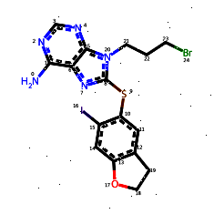 Nc1ncnc2c1nc(Sc1cc3c(cc1I)OCC3)n2CCCBr